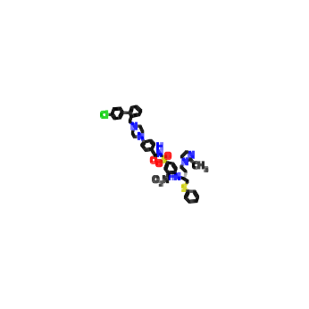 CC1=NCCN1CC[C@H](CSc1ccccc1)Nc1ccc(S(=O)(=O)NC(=O)c2ccc(N3CCN(Cc4ccccc4-c4ccc(Cl)cc4)CC3)cc2)cc1[N+](=O)[O-]